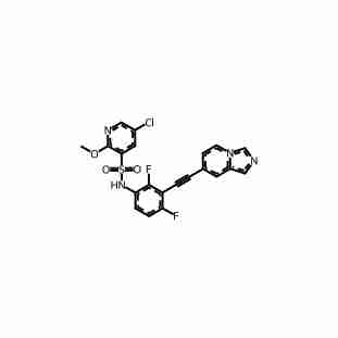 COc1ncc(Cl)cc1S(=O)(=O)Nc1ccc(F)c(C#Cc2ccn3cncc3c2)c1F